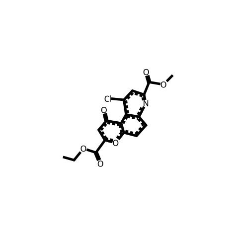 CCOC(=O)c1cc(=O)c2c(ccc3nc(C(=O)OC)cc(Cl)c32)o1